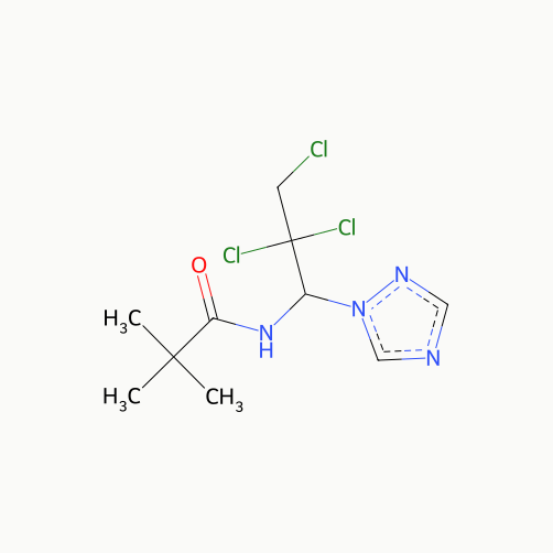 CC(C)(C)C(=O)NC(n1cncn1)C(Cl)(Cl)CCl